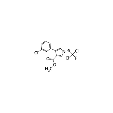 COC(=O)c1cn(SC(F)(Cl)Cl)cc1-c1cccc(Cl)c1